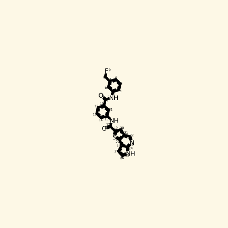 O=C(Nc1cccc(CF)c1)c1cccc(NC(=O)c2cc3cnc4[nH]ccc4c3s2)c1